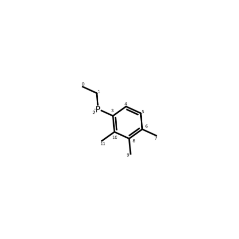 CC[P]c1ccc(C)c(C)c1C